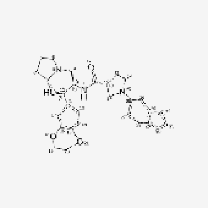 O=C(N[C@H](CN1CCCC1)[C@H](O)c1ccc2c(c1)OCCO2)[C@@H]1CCN(c2ccc3ccsc3c2)C1